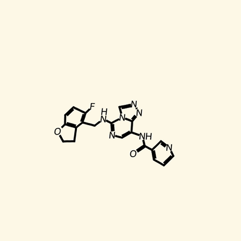 O=C(Nc1cnc(NCc2c(F)ccc3c2CCO3)n2cnnc12)c1cccnc1